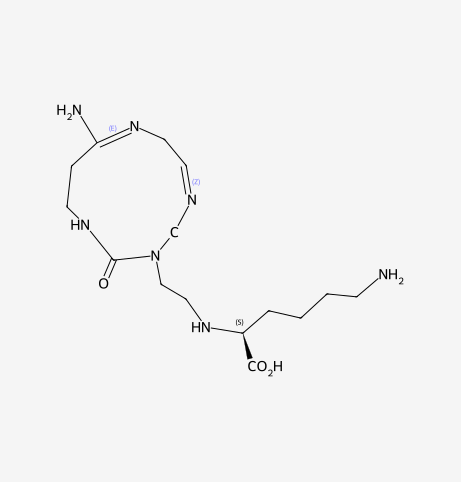 NCCCC[C@H](NCCN1C/N=C\C/N=C(/N)CCNC1=O)C(=O)O